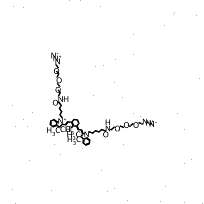 CC1(C)C(/C=C/C2=C(Cl)C(=C/C=C3/N(CCCCCC(=O)NCCOCCOCCOCCN=[N+]=[N-])c4ccccc4C3(C)C)/CCC2)=[N+](CCCCCC(=O)NCCOCCOCCOCCN=[N+]=[N-])c2ccccc21